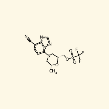 C[C@@H]1CN(c2ccc(C#N)c3ncnn23)C[C@H](COS(=O)(=O)C(F)(F)F)O1